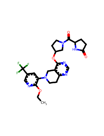 CCOc1ncc(C(F)(F)F)cc1N1CCc2ncnc(OC3CCN(C(=O)C4CCC(=O)N4)C3)c2C1